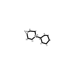 [CH]1CCCCC1N1CCOCC1